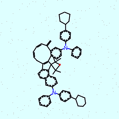 C=C1/C=C\C=C/CC2=C(c3ccc(N(c4ccccc4)c4ccc(C5CCCCC5)cc4)cc31)C(C(C)(C)C)(C(C)(C)C)c1c2ccc2cc(N(c3ccccc3)c3ccc(C4CCCCC4)cc3)ccc12